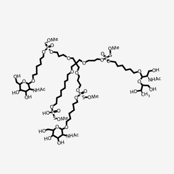 COSP(=O)(O)OCCCCCCCCOCC(COCCCOP(=O)(OCCCCCCOC1OC(CO)C(O)C(O)C1NC(C)=O)SOC)(COCCCOP(=O)(OCCCCCCOC1OC(CO)C(O)C(O)C1NC(C)=O)SOC)COCCCOP(=O)(OCCCCCCOC(OC(CO)[C@@H](C)O)[C@H](CO)NC(C)=O)SOC